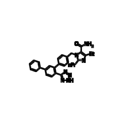 CCCc1nc(CC)c(C(N)=O)n1Cc1ccc(-c2cc(-c3ccccc3)ccc2-c2nn[nH]n2)cc1